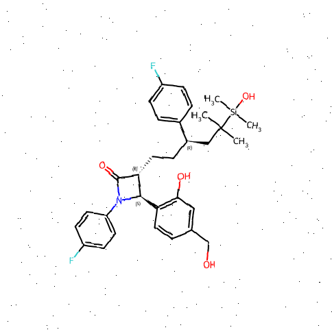 CC(C)(C[C@@H](CC[C@H]1C(=O)N(c2ccc(F)cc2)[C@@H]1c1ccc(CO)cc1O)c1ccc(F)cc1)[Si](C)(C)O